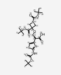 CC(C)(C)OC(=O)Nc1nc(/C(=N/OC2(C(=O)OC(C)(C)C)CN(C(=O)OC(C)(C)C)C2)C(=O)O)cs1